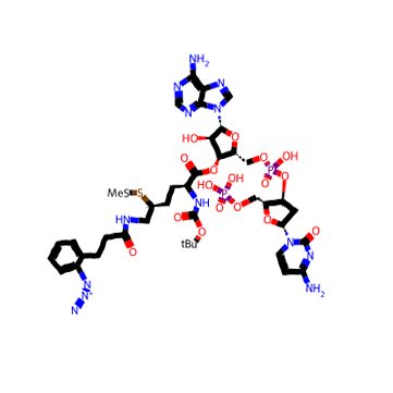 CSS[C@@H](CC[C@H](NC(=O)OC(C)(C)C)C(=O)O[C@H]1[C@@H](O)[C@H](n2cnc3c(N)ncnc32)O[C@@H]1COP(=O)(O)O[C@H]1C[C@H](n2ccc(N)nc2=O)O[C@@H]1COP(=O)(O)O)CNC(=O)CCc1ccccc1N=[N+]=[N-]